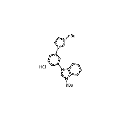 CCCC[n+]1ccn(-c2cccc(-n3c[n+](CCCC)c4ccccc43)c2)c1.Cl